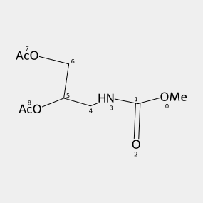 COC(=O)NCC(COC(C)=O)OC(C)=O